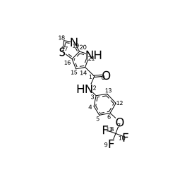 O=C(Nc1ccc(OC(F)(F)F)cc1)c1cc2scnc2[nH]1